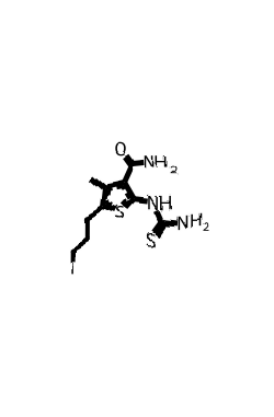 Cc1c(CCCI)sc(NC(N)=S)c1C(N)=O